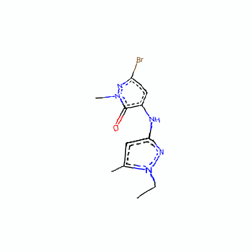 CCn1nc(Nc2cc(Br)nn(C)c2=O)cc1C